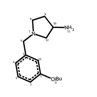 CC(C)COc1cccc(CN2CCC(N)C2)c1